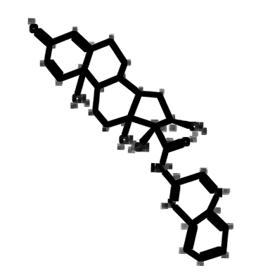 C[C@@H]1CC2C3CCC4=CC(=O)C=CC4(C)C3CCC2(C)[C@@]1(O)C(=O)Nc1cnc2ccccc2n1